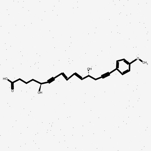 COc1ccc(C#CC[C@@H](O)/C=C/C=C/C#C[C@@H](O)CCCC(=O)O)cc1